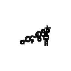 CC(C)(C)OC(=O)N1CCNCC1c1cccn(CCc2ccc(Cl)cc2F)c1=O